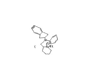 CC[N+]1(CC)CCCCC1CN(c1ccccc1)C1Cc2ccccc2C1.[I-]